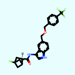 O=C(Nc1c[nH]c2ccc(COCc3ccc(C(F)(F)F)cc3)cc12)[C@@H]1CC2(F)CC1C2